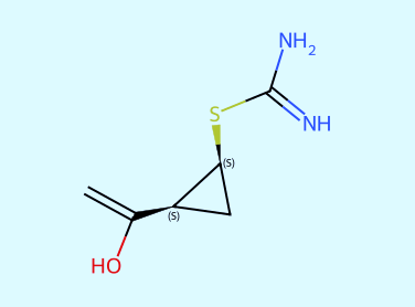 C=C(O)[C@@H]1C[C@@H]1SC(=N)N